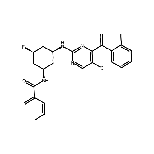 C=C(/C=C\C)C(=O)N[C@H]1C[C@@H](F)C[C@@H](Nc2ncc(Cl)c(C(=C)c3ccccc3C)n2)C1